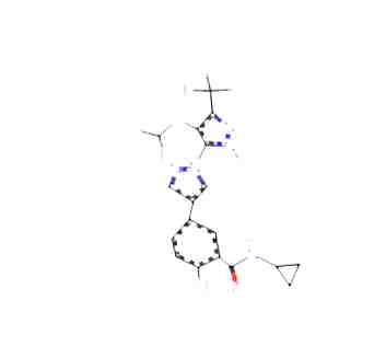 Cn1nc(C(F)(F)C(F)(F)F)c(OC(F)F)c1-n1cc(-c2ccc(Cl)c(C(=O)NC3CC3)c2)cn1